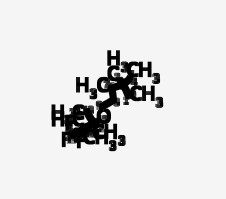 CCC(C)(CC)C(C)CCOC(C)(CC)C(C)(C)C(F)(F)F